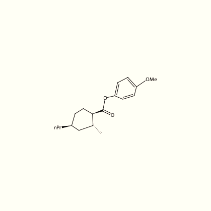 CCC[C@H]1CC[C@@H](C(=O)Oc2ccc(OC)cc2)[C@H](C)C1